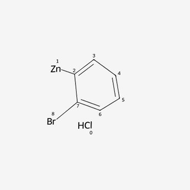 Cl.[Zn][c]1ccccc1Br